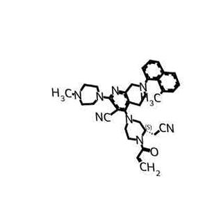 C=CC(=O)N1CCN(c2c(C#N)c(N3CCN(C)CC3)nc3c2CCN(c2cccc4cccc(C)c24)C3)C[C@@H]1CC#N